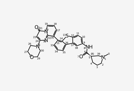 CN1CCC[C@@H](C(=O)Nc2ccc3sc4c(-c5cccn6c(=O)cc(N7CCOCC7)nc56)cccc4c3c2)C1